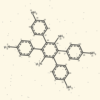 Nc1ccc(-c2c(N)c(-c3ccc(N)cc3)c(-c3ccc(N)cc3)c(N)c2-c2ccc(N)cc2)cc1